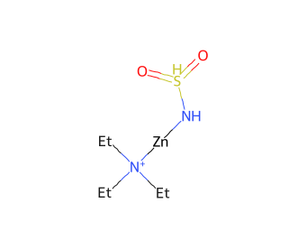 CC[N+](CC)(CC)[Zn][NH][SH](=O)=O